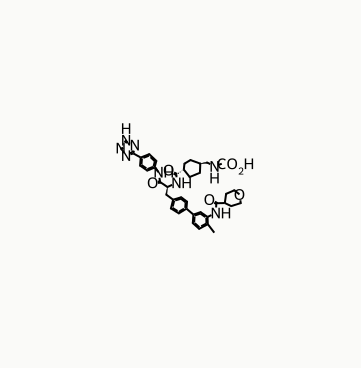 Cc1ccc(-c2ccc(C[C@H](NC(=O)[C@H]3CC[C@H](CNC(=O)O)CC3)C(=O)Nc3ccc(-c4nn[nH]n4)cc3)cc2)cc1NC(=O)C1CCOCC1